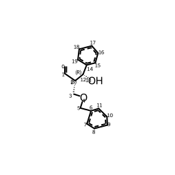 C=C[C@@H](COCc1ccccc1)[C@@H](O)c1ccccc1